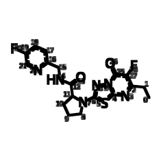 CCc1nc2sc(N3CCCC3C(=O)NCc3ccc(F)cn3)nn2c(=O)c1F